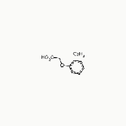 O=C(O)COc1ccccc1.[CaH2]